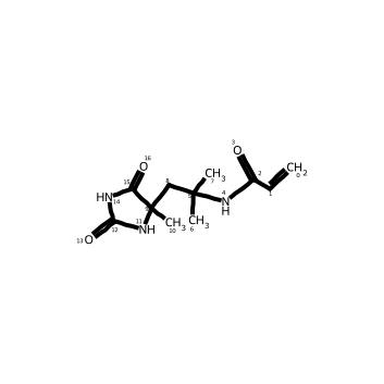 C=CC(=O)NC(C)(C)CC1(C)NC(=O)NC1=O